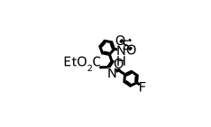 CCOC(=O)Cc1nc(-c2ccc(F)cc2)oc1-c1ccccc1NS(C)(=O)=O